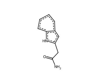 NC(=O)Cc1cc2ccccc2[nH]1